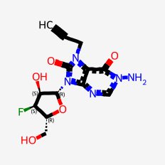 C#CCn1c(=O)n([C@@H]2O[C@H](CO)[C@@H](F)[C@H]2O)c2ncn(N)c(=O)c21